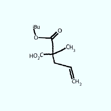 C=CCC(C)(C(=O)O)C(=O)OC(C)CC